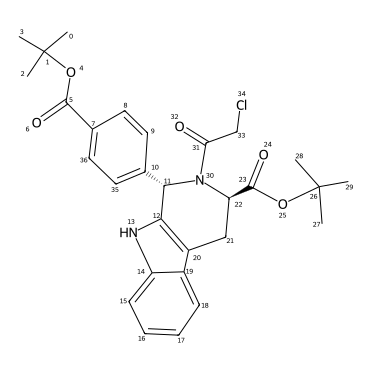 CC(C)(C)OC(=O)c1ccc([C@H]2c3[nH]c4ccccc4c3C[C@H](C(=O)OC(C)(C)C)N2C(=O)CCl)cc1